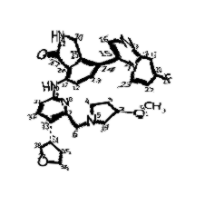 CO[C@@H]1CCN(Cc2nc(Nc3ccc(-c4cnc5cc(F)ccn45)c4c3C(=O)NC4)ccc2[C@@H]2CCOC2)C1